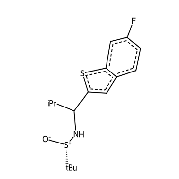 CC(C)C(N[S@@+]([O-])C(C)(C)C)c1cc2ccc(F)cc2s1